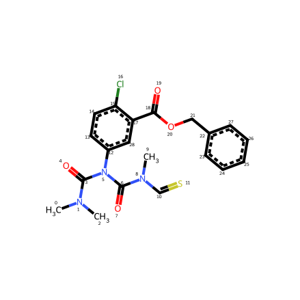 CN(C)C(=O)N(C(=O)N(C)C=S)c1ccc(Cl)c(C(=O)OCc2ccccc2)c1